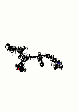 COc1ccc2c3c1O[C@H]1C(OC(=O)N4CCC(C(=O)NCCCCC[C@H](NC(=O)OCc5ccccc5)C(=O)NCCOc5ccc(C(=O)Oc6ccc(N/C(=N/C(=O)OC(C)(C)C)NC(=O)OC(C)(C)C)cc6)cc5)CC4CNC(=O)[C@H](CCCNC(=N)NS(=O)(=O)c4c(C)c(C)c5c(c4C)CC(C)(C)O5)NC(=O)CNC(C)=O)=CC[C@H]4[C@@H](C2)C(C)CC[C@]314